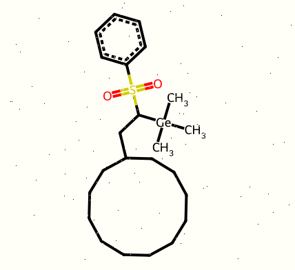 [CH3][Ge]([CH3])([CH3])[CH](CC1CCCCCCCCCCC1)S(=O)(=O)c1ccccc1